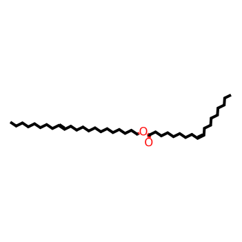 CCCCCCCC/C=C\CCCCCCCC(=O)OCCCCCCCCCCCC/C=C/CCCCCCCC